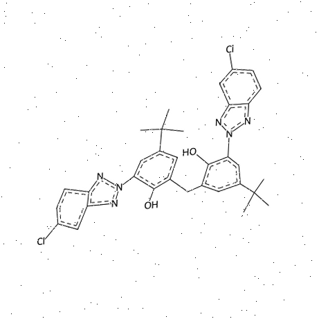 CC(C)(C)c1cc(Cc2cc(C(C)(C)C)cc(-n3nc4ccc(Cl)cc4n3)c2O)c(O)c(-n2nc3ccc(Cl)cc3n2)c1